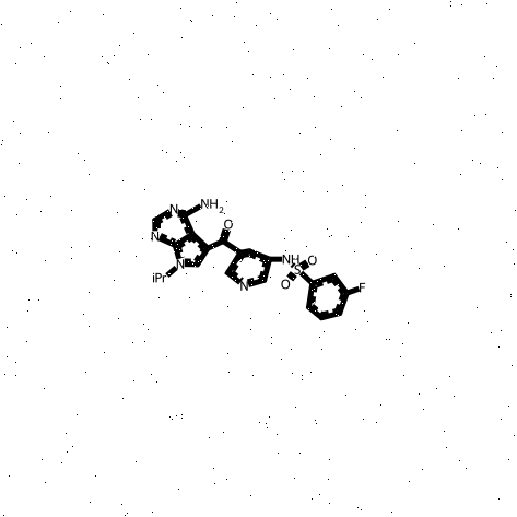 CC(C)n1cc(C(=O)c2cncc(NS(=O)(=O)c3cccc(F)c3)c2)c2c(N)ncnc21